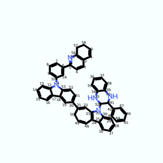 C1=Cc2ccc(-c3cccc(-n4c5ccccc5c5cc(C6=Cc7c(c8ccccc8n7C7Nc8ccccc8NC7c7ccccc7)C=CC6)ccc54)c3)nc2CC1